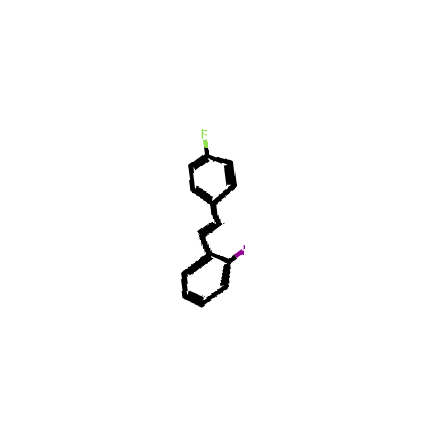 Fc1ccc([C]=Cc2ccccc2I)cc1